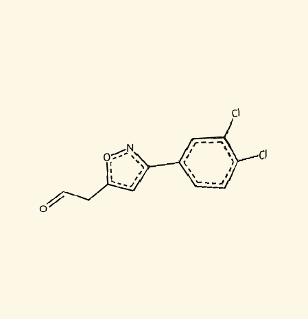 O=CCc1cc(-c2ccc(Cl)c(Cl)c2)no1